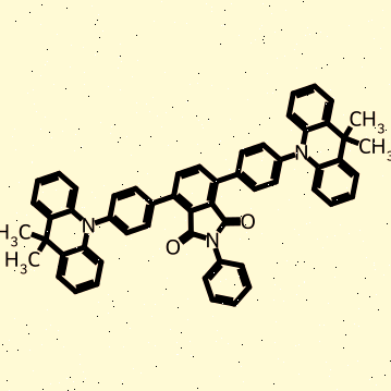 CC1(C)c2ccccc2N(c2ccc(-c3ccc(-c4ccc(N5c6ccccc6C(C)(C)c6ccccc65)cc4)c4c3C(=O)N(c3ccccc3)C4=O)cc2)c2ccccc21